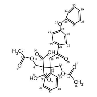 CC(=O)OCC(C(=O)O)(C(=O)O)C(COC(C)=O)(CC(=O)c1ccc(Oc2ccccc2)cc1)c1ccccc1